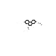 C/N=N/c1c(O)c2cc(SOOO)ccc2c2ccc(S(=O)(=O)O)cc12